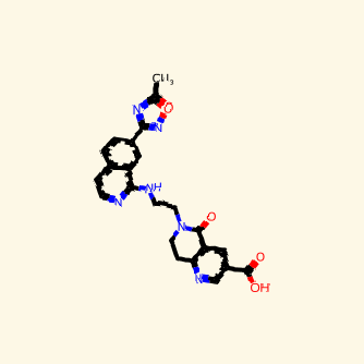 Cc1nc(-c2ccc3ccnc(NCCN4CCc5ncc(C(=O)O)cc5C4=O)c3c2)no1